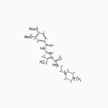 COc1ccc(C(=O)Nc2nc(C(=O)NCCN3CCN(C)CC3)cs2)cc1OC.Cl